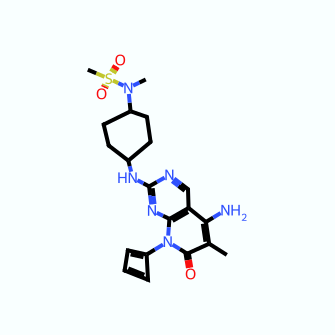 Cc1c(N)c2cnc(NC3CCC(N(C)S(C)(=O)=O)CC3)nc2n(C2=CC=C2)c1=O